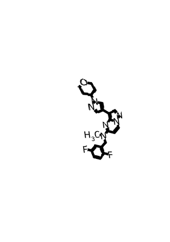 CN(Cc1cc(F)ccc1F)c1ccn2ncc(-c3cnn(C4CCOCC4)c3)c2n1